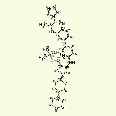 CC(Cn1cnnn1)Oc1cc(-c2cnc(Nc3cn(C4CCC(N5CCOCC5)CC4)nc3OCC(C)(C)O)nc2)ccc1C#N